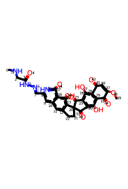 CNCC(=O)N/N=C/c1cc2cc3c(c(O)c2c(=O)[nH]1)C1(CC3)C(=O)c2c(O)c3c(c(O)c2C1=O)C(=O)C(OC)=CC3=O